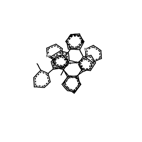 Cc1ccccc1-n1c(-c2ccccc2-c2cccc(-c3ccccc3)c2-c2c(-c3ccccc3)cccc2-c2ccccc2-c2nc3cccnc3n2-c2ccccc2C)nc2cccnc21